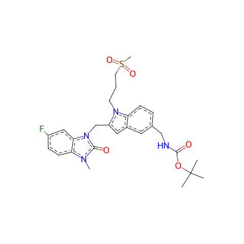 Cn1c(=O)n(Cc2cc3cc(CNC(=O)OC(C)(C)C)ccc3n2CCCS(C)(=O)=O)c2cc(F)ccc21